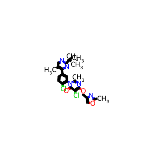 Cc1nc(COc2nc(C)n(-c3cc(-c4nc(C(C)(C)C)ncc4C)ccc3Cl)c(=O)c2Cl)co1